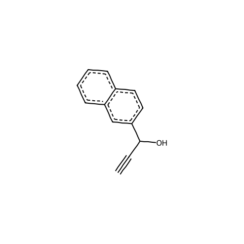 C#CC(O)c1ccc2ccccc2c1